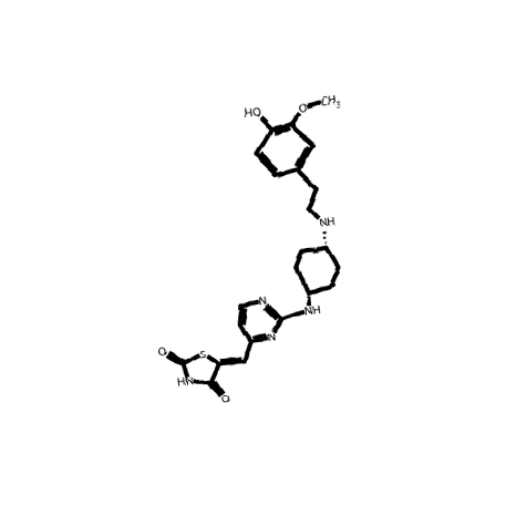 COc1cc(CCN[C@H]2CC[C@H](Nc3nccc(/C=C4\SC(=O)NC4=O)n3)CC2)ccc1O